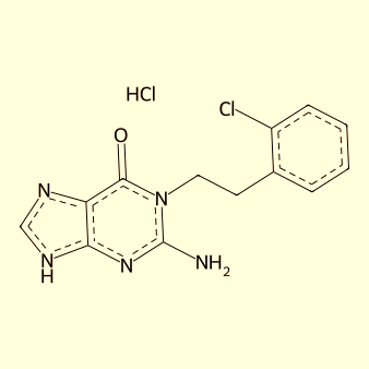 Cl.Nc1nc2[nH]cnc2c(=O)n1CCc1ccccc1Cl